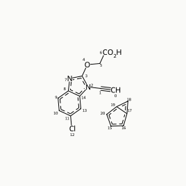 C#Cn1c(OCC(=O)O)nc2ccc(Cl)cc21.c1cc2cc-2c1